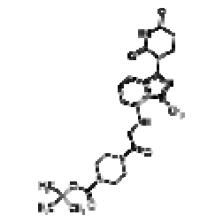 Cn1nc(C2CCC(=O)NC2=O)c2cccc(NCC(=O)N3CCN(C(=O)OC(C)(C)C)CC3)c21